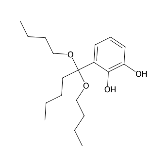 CCCCOC(CCCC)(OCCCC)c1cccc(O)c1O